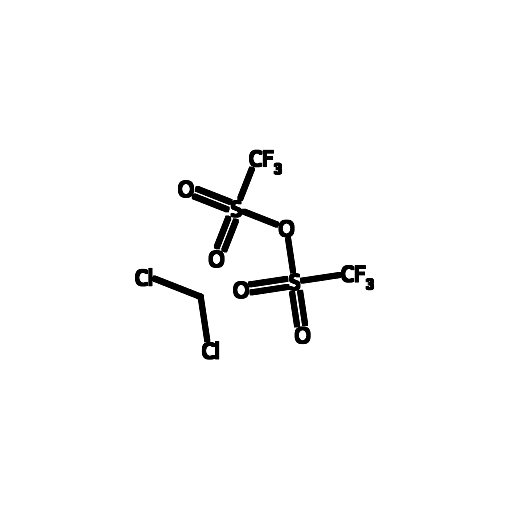 ClCCl.O=S(=O)(OS(=O)(=O)C(F)(F)F)C(F)(F)F